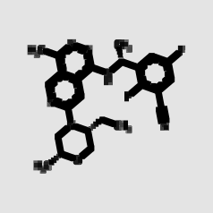 CC[C@@H]1CO[C@H](C)CN1c1cc2c(N[C@H](C)c3cc(F)cc(C#N)c3F)nnc(C)c2cn1